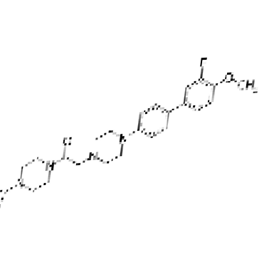 COc1ccc(-c2ccc(N3CCN(CC(=O)N4CCN(C5CCC5)CC4)CC3)cc2)cc1F